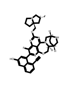 C#Cc1cccc2cc(O)cc(-c3nc4c5c(nc(OC[C@@]67CCCN6C[C@H](F)C7)nc5c3F)N3C[C@H]5CC[C@H](CN5)[C@H]3CO4)c12